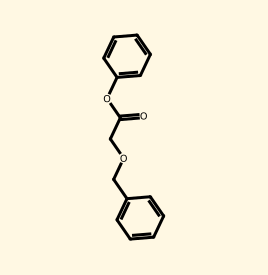 O=C(COCc1ccccc1)Oc1ccccc1